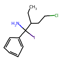 CCC(CCCl)C(N)(I)c1ccccc1